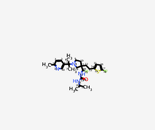 Cc1ccc(C(C)(C)N2CCC(CCc3ccc(F)s3)([C@@H](F)NC(=O)NC(C)C)C2)cn1